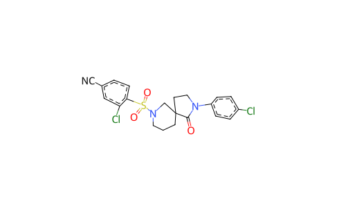 N#Cc1ccc(S(=O)(=O)N2CCCC3(CCN(c4ccc(Cl)cc4)C3=O)C2)c(Cl)c1